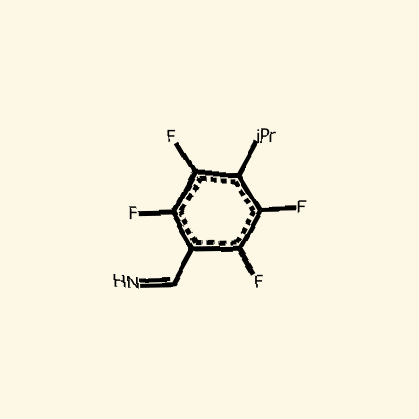 CC(C)c1c(F)c(F)c(C=N)c(F)c1F